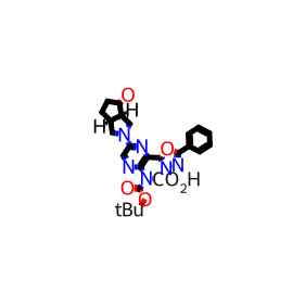 CC(C)(C)OC(=O)N(C(=O)O)c1ncc(N2C[C@@H]3CCC(=O)[C@@H]3C2)nc1-c1nnc(-c2ccccc2)o1